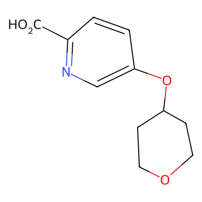 O=C(O)c1ccc(OC2CCOCC2)cn1